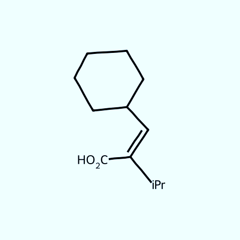 CC(C)C(=CC1CCCCC1)C(=O)O